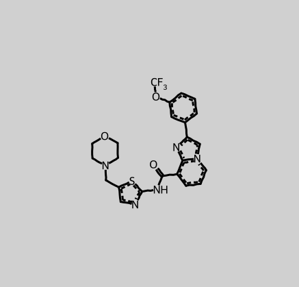 O=C(Nc1ncc(CN2CCOCC2)s1)c1cccn2cc(-c3cccc(OC(F)(F)F)c3)nc12